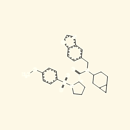 COc1ccc(S(=O)(=O)N2CCC[C@H]2C(=O)N(Cc2ccc3ocnc3c2)C2CCC3CC3C2)cc1